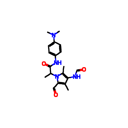 Cc1c(NC=O)c(C)n(C(C)C(=O)Nc2ccc(N(C)C)cc2)c1C=O